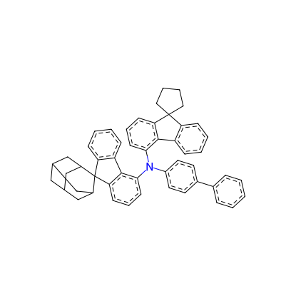 c1ccc(-c2ccc(N(c3cccc4c3-c3ccccc3C43CCCC3)c3cccc4c3-c3ccccc3C43C4CC5CC(C4)CC3C5)cc2)cc1